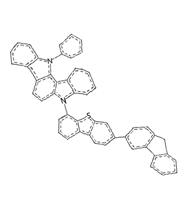 c1ccc(-n2c3ccccc3c3ccc4c(c5ccccc5n4-c4cccc5c4sc4cc(-c6ccc7c(c6)-c6ccccc6C7)ccc45)c32)cc1